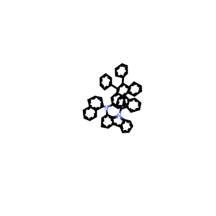 c1ccc(-c2c(-c3ccccc3)c3cc(N(c4cccc5ccccc45)c4cccc5c6ccccc6n(-c6cccc7ccccc67)c45)ccc3c3ccccc23)cc1